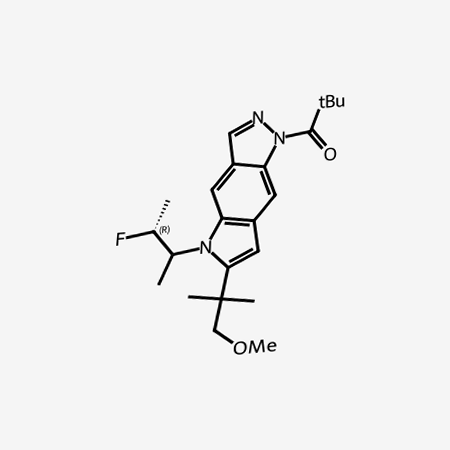 COCC(C)(C)c1cc2cc3c(cnn3C(=O)C(C)(C)C)cc2n1C(C)[C@@H](C)F